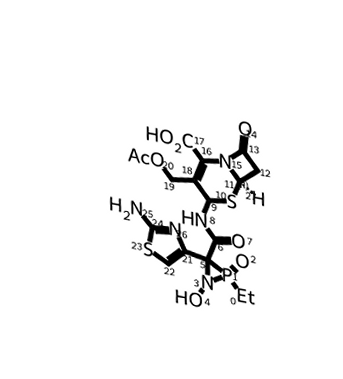 CCP1(=O)N(O)C1(C(=O)NC1S[C@@H]2CC(=O)N2C(C(=O)O)=C1COC(C)=O)c1csc(N)n1